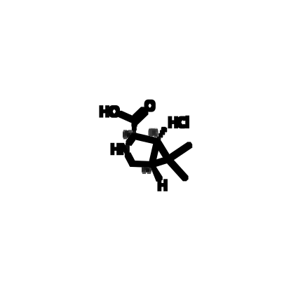 CC1(C)[C@@H]2CN[C@H](C(=O)O)[C@]21C.Cl